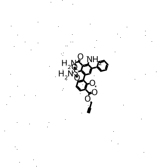 C#CCOC(=O)c1cccc(-c2cc(-c3ccccc3)c(N)c(C(N)=O)c2S(N)(=O)=O)c1OC